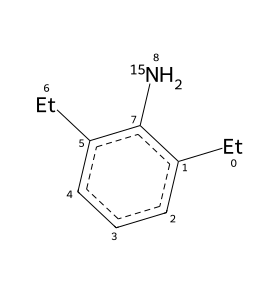 CCc1cccc(CC)c1[15NH2]